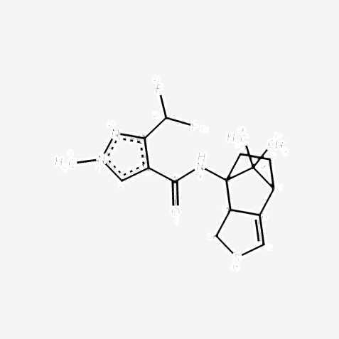 Cn1cc(C(=O)NC23CCC(C4=CSCC42)C3(C)C)c(C(F)F)n1